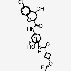 O=C(NC12CCC(NC(=O)[C@H]3C[C@@H](OC(F)(F)F)C3)(CC1)[C@@H](O)C2)[C@@H]1C[C@H](O)c2cc(Cl)ccc2O1